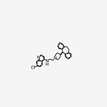 Clc1ccc2c(NCCN3CCC(=C4c5ccccc5CCc5ccccc54)CC3)ccnc2c1